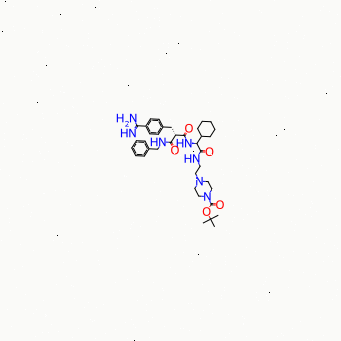 CC(C)(C)OC(=O)N1CCN(CCNC(=O)[C@@H](NC(=O)[C@@H](Cc2ccc(C(=N)N)cc2)C(=O)NCc2ccccc2)C2CCCCC2)CC1